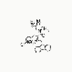 CCOC(CN(C)C(=O)C(Cc1ccc(Cl)cc1)N(CC1c2ccccc2-c2ccccc21)C(=O)O)OCC